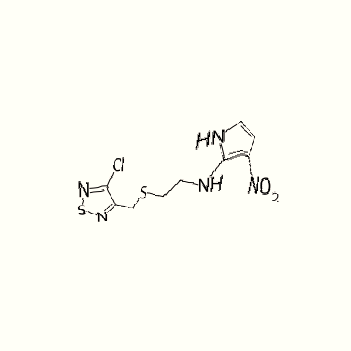 O=[N+]([O-])c1cc[nH]c1NCCSCc1nsnc1Cl